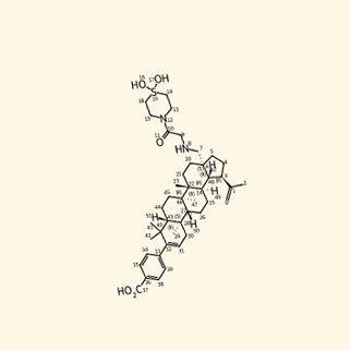 C=C(C)[C@@H]1CC[C@]2(CNCC(=O)N3CCS(O)(O)CC3)CC[C@]3(C)[C@H](CC[C@@H]4[C@@]5(C)CC=C(c6ccc(C(=O)O)cc6)C(C)(C)[C@@H]5CC[C@]43C)[C@@H]12